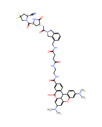 CN(C)c1ccc2c(c1)OC1=CC(N(C)C)C=CC1C2c1ccc(C(=O)NCCNC(=O)CCC(=O)NCc2cccc3c2CN(C(=O)C[C@@H]2C[C@@H](C(=O)N4CC(F)(F)C[C@H]4C#N)NC2=O)C3)cc1C(=O)O